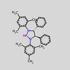 Cc1cc(C)c(N2PN(c3c(C)cc(C)cc3C)[C@H](c3ccccc3)[C@H]2c2ccccc2)c(C)c1